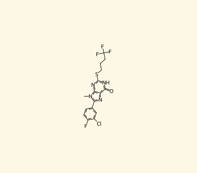 Cn1c(-c2ccc(F)c(Cl)c2)nc2c(=O)[nH]c(SCCCC(F)(F)F)nc21